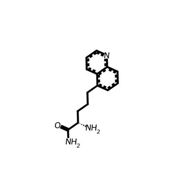 NC(=O)[C@@H](N)CCCc1cccc2ncccc12